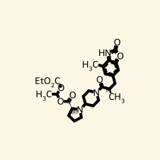 CCOC(=O)OC(C)OC(=O)[C@H]1CCCN1C1CCN(C(=O)[C@H](C)Cc2cc(C)c3[nH]c(=O)oc3c2)CC1